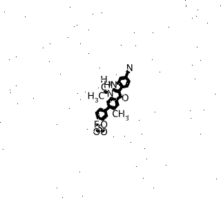 Cc1cc2c(=O)c3c4ccc(C#N)cc4[nH]c3n(C(C)C)c2cc1-c1cccc(OS(=O)(=O)F)c1